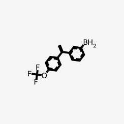 Bc1cccc(C(=C)c2ccc(OC(F)(F)F)cc2)c1